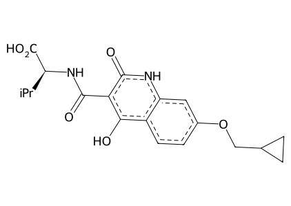 CC(C)[C@H](NC(=O)c1c(O)c2ccc(OCC3CC3)cc2[nH]c1=O)C(=O)O